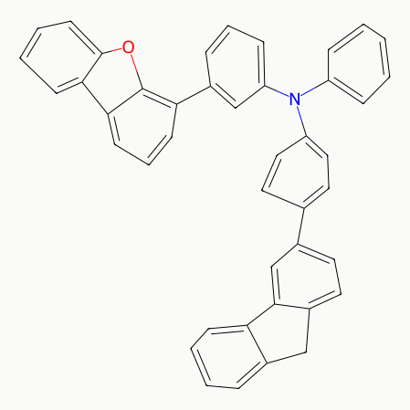 c1ccc(N(c2ccc(-c3ccc4c(c3)-c3ccccc3C4)cc2)c2cccc(-c3cccc4c3oc3ccccc34)c2)cc1